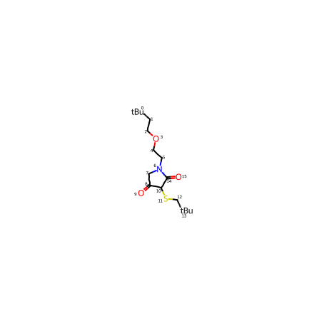 CC(C)(C)CCOCCN1CC(=O)C(SCC(C)(C)C)C1=O